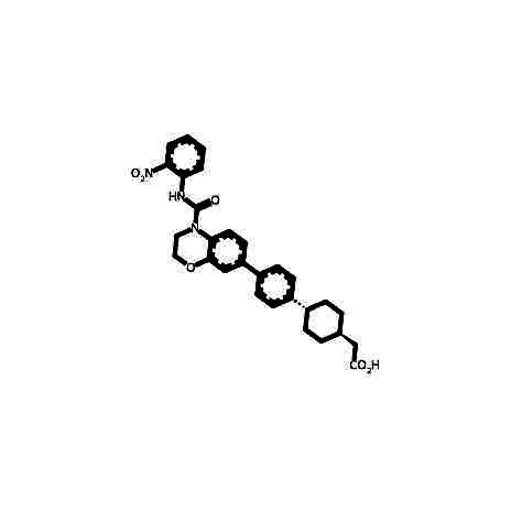 O=C(O)C[C@H]1CC[C@H](c2ccc(-c3ccc4c(c3)OCCN4C(=O)Nc3ccccc3[N+](=O)[O-])cc2)CC1